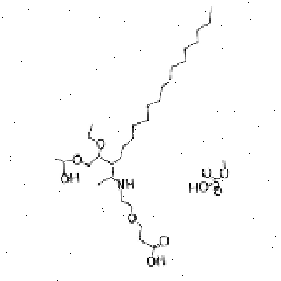 CCCCCCCCCCCCCCCCC(=C(C)NCCOCCC(=O)O)C(COC(C)O)OCC.COS(=O)(=O)O